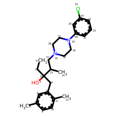 CCC(O)(Cc1cc(C)ccc1C)C(C)CN1CCN(c2cccc(Cl)c2)CC1